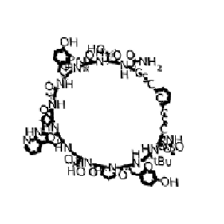 CC(C)[C@]1(C)NC(=O)[C@H](Cc2ccc(O)cc2)NC(=O)[C@H](C)NC(=O)C2(CCC2)NC(=O)[C@H](Cc2c[nH]c3ncccc23)NC(=O)[C@H]([C@@H](C)O)NC(=O)[C@@H]2CCCN2C(=O)[C@H](Cc2ccc(O)cc2)NC(=O)[C@H](C(C)(C)C)NC(=O)[C@@H](NS(C)(=O)=O)CSCc2cccc(c2)CSC[C@H](C(N)=O)NC(=O)[C@H]([C@@H](C)O)NC1=O